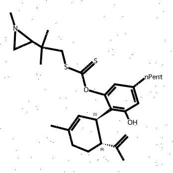 C=C(C)[C@@H]1CCC(C)=C[C@H]1c1c(O)cc(CCCCC)cc1OC(=S)SCC(C)(C)C1CN1C